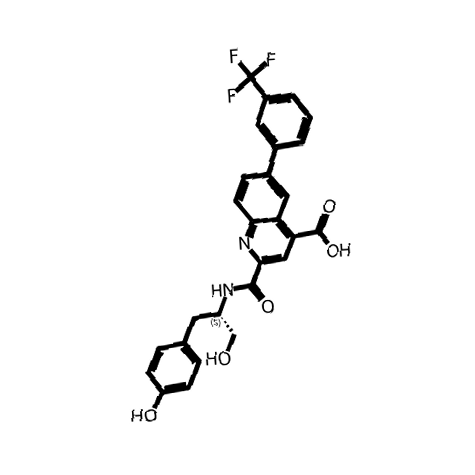 O=C(N[C@H](CO)Cc1ccc(O)cc1)c1cc(C(=O)O)c2cc(-c3cccc(C(F)(F)F)c3)ccc2n1